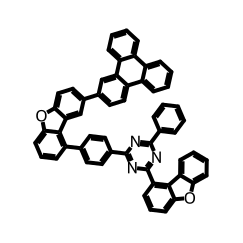 c1ccc(-c2nc(-c3ccc(-c4cccc5oc6ccc(-c7ccc8c9ccccc9c9ccccc9c8c7)cc6c45)cc3)nc(-c3cccc4oc5ccccc5c34)n2)cc1